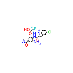 CN(C)C(=O)[C@H]1CC[C@H](NC(=O)c2cc3cc(Cl)ccc3[nH]2)[C@H](N)C1.O=C(O)C(F)(F)F